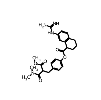 COC(=O)C(Cc1ccc(OC(=O)C2CCCc3ccc(NC(=N)N)cc32)cc1)C(=O)N(C)C